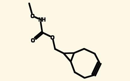 CONC(=O)OCC1C2CCC#CCCC21